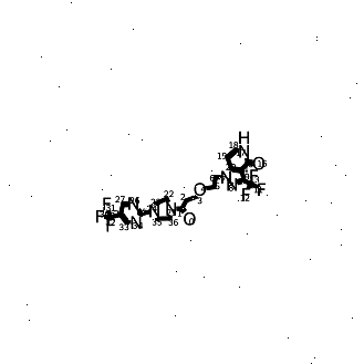 O=C(CCOCCn1nc(C(F)(F)F)c2c(=O)[nH]ccc21)N1CCN(c2ncc(C(F)(F)F)cn2)CC1